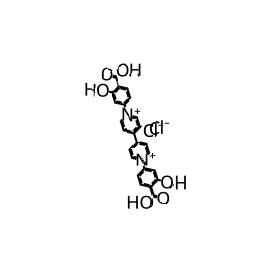 O=C(O)c1ccc(-[n+]2ccc(-c3cc[n+](-c4ccc(C(=O)O)c(O)c4)cc3)cc2)cc1O.[Cl-].[Cl-]